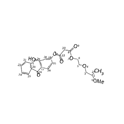 COC(C)COCCOC(=O)CC(=O)Oc1ccc(C(=O)c2ccccc2)c(O)c1